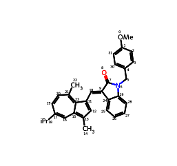 COc1ccc(CN2C(=O)/C(=C/c3cc(C)c4cc(C(C)C)ccc(C)c3-4)c3ccccc32)cc1